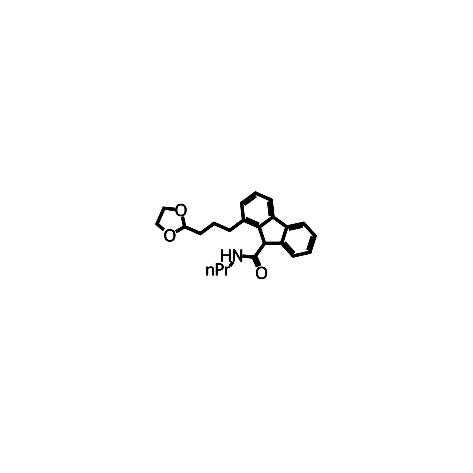 CCCNC(=O)C1c2ccccc2-c2cccc(CCCC3OCCO3)c21